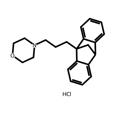 Cl.c1ccc2c(c1)C1CC2(CCCN2CCOCC2)c2ccccc21